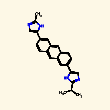 Cc1ncc(-c2ccc3cc4cc(-c5cnc(C(C)C)[nH]5)ccc4cc3c2)[nH]1